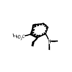 Cc1c(C(=O)O)cccc1N(C)C